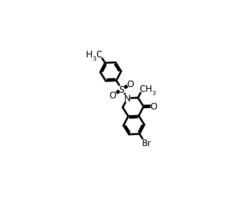 Cc1ccc(S(=O)(=O)N2Cc3ccc(Br)cc3C(=O)C2C)cc1